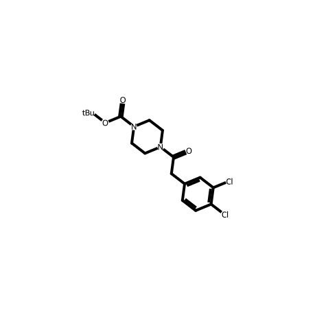 CC(C)(C)OC(=O)N1CCN(C(=O)Cc2ccc(Cl)c(Cl)c2)CC1